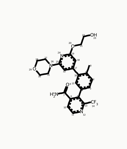 Cc1ccc(-c2c(C(N)=O)ccnc2C(F)(F)F)cc1-c1cc(OCCO)nc(N2CCOCC2)c1